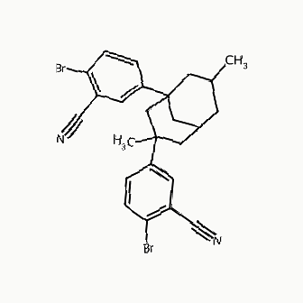 CC1CC2CC(C)(c3ccc(Br)c(C#N)c3)CC(c3ccc(Br)c(C#N)c3)(C1)C2